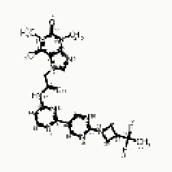 Cn1c(=O)c2c(ncn2CC(=O)Nc2ccnc(-c3cnc(N4CC(C(C)(F)F)C4)nc3)n2)n(C)c1=O